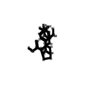 COC(=O)C1C(c2ccc(F)cc2)CC2CCC1N2CCC(OC)OC(C)=O